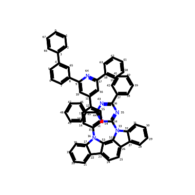 c1ccc(-c2cccc(-c3cc(-c4ccc(-n5c6ccccc6c6ccc7c8ccccc8n(-c8nc(-c9ccccc9)nc(-c9ccccc9)n8)c7c65)cc4)cc(-c4ccccc4)n3)c2)cc1